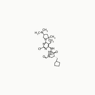 CN(C)C1CN(c2nc(Cl)nc(NNC(=O)[C@H](CC3CCCC3)CN(O)C=O)c2F)C(C)(C)C1